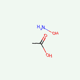 CC(=O)O.NO